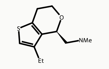 CCc1csc2c1[C@H](CNC)OCC2